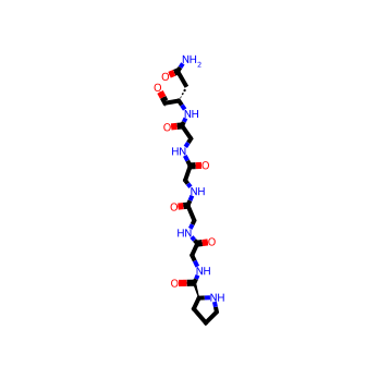 NC(=O)C[C@@H]([C]=O)NC(=O)CNC(=O)CNC(=O)CNC(=O)CNC(=O)[C@@H]1CCCN1